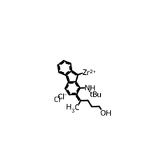 CC(CCCO)=c1ccc2c(c1NC(C)(C)C)[C]([Zr+2])=c1ccccc1=2.[Cl-].[Cl-]